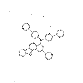 c1ccc(-c2ccc(N(c3ccc(-c4ccccc4)cc3)c3cc(-c4ccccc4)cc4c3ccc3c5ccccc5oc43)cc2)cc1